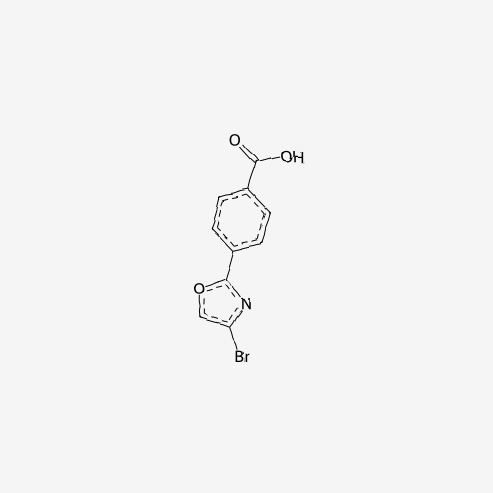 O=C(O)c1ccc(-c2nc(Br)co2)cc1